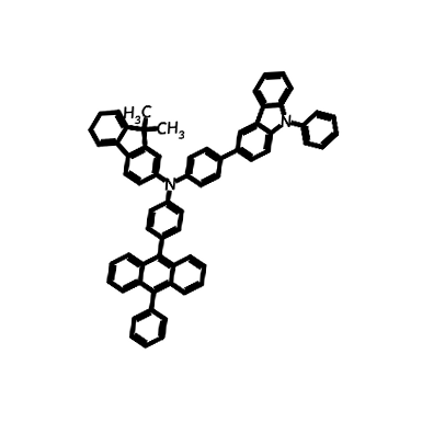 CC1(C)C2=CCCC=C2c2ccc(N(c3ccc(-c4ccc5c(c4)c4ccccc4n5-c4ccccc4)cc3)c3ccc(-c4c5ccccc5c(-c5ccccc5)c5ccccc45)cc3)cc21